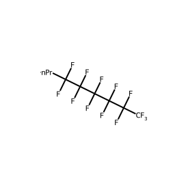 CC[CH]C(F)(F)C(F)(F)C(F)(F)C(F)(F)C(F)(F)C(F)(F)F